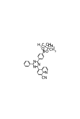 CC1(C)OB(c2ccc(-c3nc(-c4ccccc4)nc(-c4ccc(C#N)c5ncccc45)n3)cc2)OC1(C)C